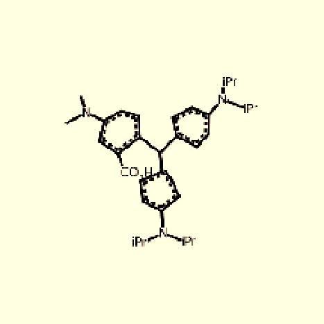 CC(C)N(c1ccc(C(c2ccc(N(C(C)C)C(C)C)cc2)c2ccc(N(C)C)cc2C(=O)O)cc1)C(C)C